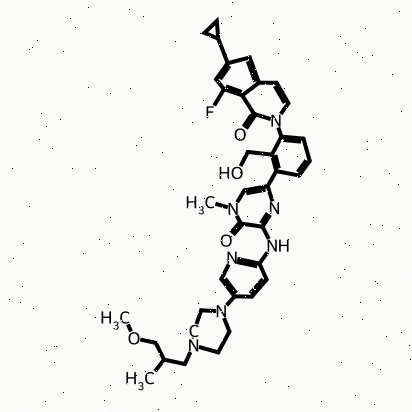 COCC(C)CN1CCN(c2ccc(Nc3nc(-c4cccc(-n5ccc6cc(C7CC7)cc(F)c6c5=O)c4CO)cn(C)c3=O)nc2)CC1